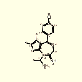 Cc1sc2c(c1C)C(c1ccc(Cl)cc1)=NCC(=N)N2C(C)N